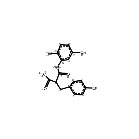 CC(=O)C(Cc1ccc(Cl)cc1)C(=O)Nc1cc(O)ccc1Cl